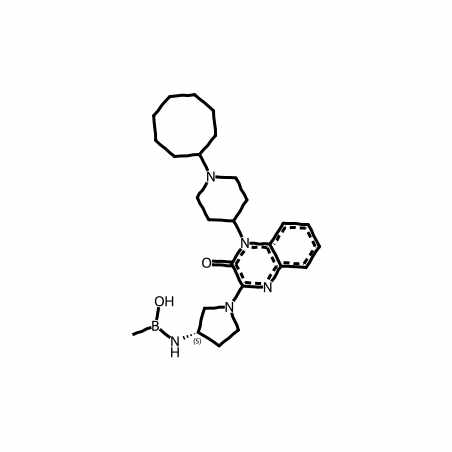 CB(O)N[C@H]1CCN(c2nc3ccccc3n(C3CCN(C4CCCCCCC4)CC3)c2=O)C1